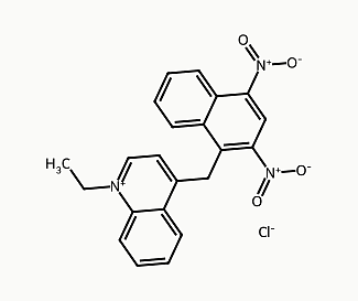 CC[n+]1ccc(Cc2c([N+](=O)[O-])cc([N+](=O)[O-])c3ccccc23)c2ccccc21.[Cl-]